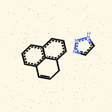 C1=Cc2cccc3cccc(c23)C1.c1c[nH]nn1